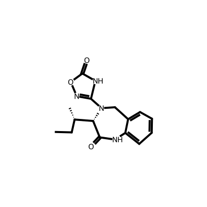 CC[C@H](C)[C@H]1C(=O)Nc2ccccc2CN1c1noc(=O)[nH]1